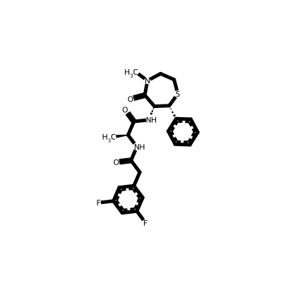 C[C@H](NC(=O)Cc1cc(F)cc(F)c1)C(=O)N[C@@H]1C(=O)N(C)CCS[C@@H]1c1ccccc1